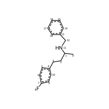 CC(CCc1ccc(F)cc1)NCc1ccccc1